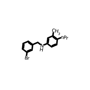 CCCc1ccc(NCc2cccc(Br)c2)cc1C